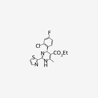 CCOC(=O)C1=C(C)NC(c2nccs2)=N[C@H]1c1ccc(F)cc1Cl